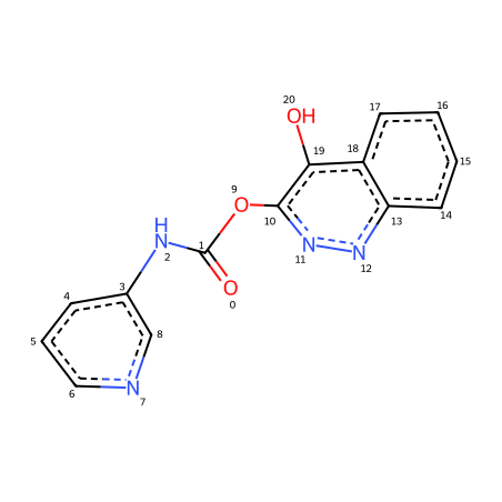 O=C(Nc1cccnc1)Oc1nnc2ccccc2c1O